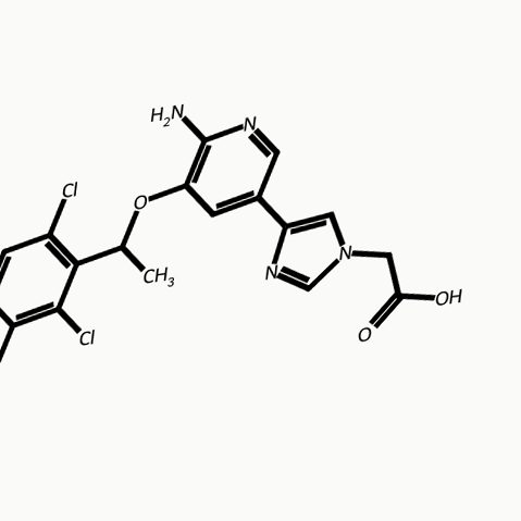 CC(Oc1cc(-c2cn(CC(=O)O)cn2)cnc1N)c1c(Cl)ccc(F)c1Cl